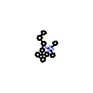 c1ccc(-c2nc(-c3ccccc3)nc(-n3c4ccc(-c5cccc6c5sc5ccccc56)cc4c4ccc(C5(c6ccccc6)c6ccccc6-c6ccccc65)cc43)n2)cc1